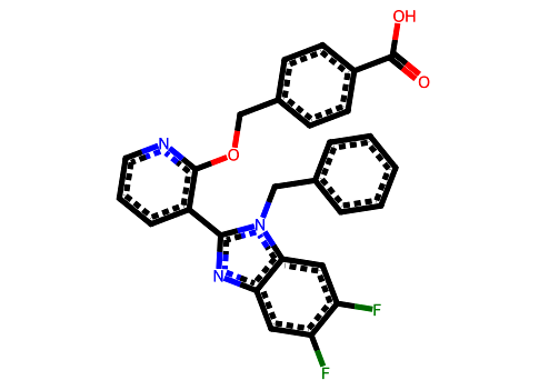 O=C(O)c1ccc(COc2ncccc2-c2nc3cc(F)c(F)cc3n2Cc2ccccc2)cc1